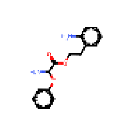 Nc1ccccc1CCOC(=O)C(N)Oc1ccccc1